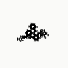 CNCc1ccccc1Pc1cccc(C[Si](C)(C)C)c1OCc1ccccc1